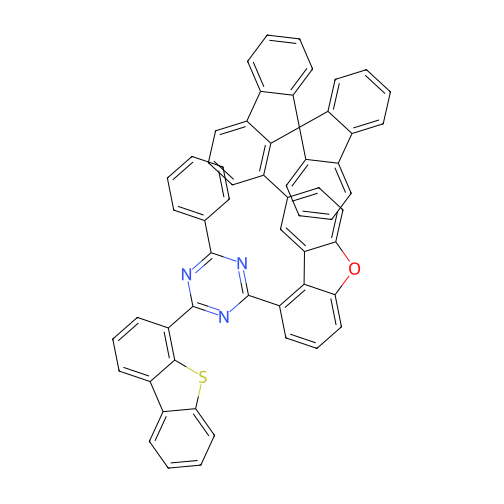 c1ccc(-c2nc(-c3cccc4c3sc3ccccc34)nc(-c3cccc4oc5ccc(-c6cccc7c6C6(c8ccccc8-c8ccccc86)c6ccccc6-7)cc5c34)n2)cc1